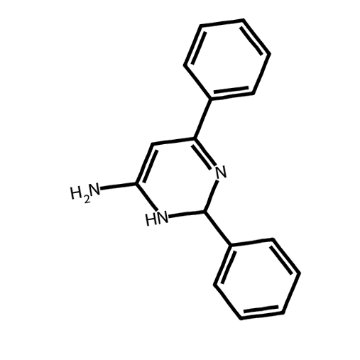 NC1=CC(c2ccccc2)=NC(c2ccccc2)N1